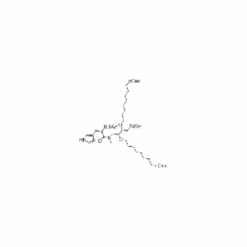 CCCCCCCCCCCCCCCCCCOC(CNC)C(CN(C)C(=O)C(Cc1c[nH]cn1)NC(C)=O)OCCCCCCCCCCCCCCCCCC